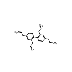 C=CCc1ccc(-c2ccc(CC=C)cc2CC=C)c(CC=C)c1